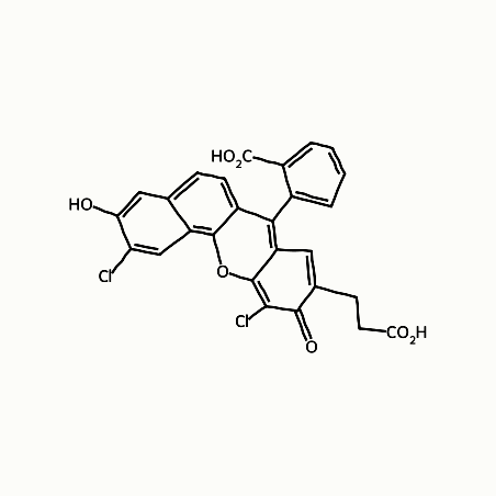 O=C(O)CCc1cc2c(-c3ccccc3C(=O)O)c3ccc4cc(O)c(Cl)cc4c3oc-2c(Cl)c1=O